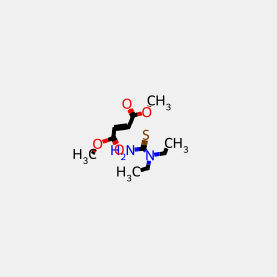 CCN(CC)C(N)=S.COC(=O)/C=C/C(=O)OC